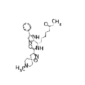 CCC(=O)CCCCC[C@H](NC(=O)C1=NOC2(CCN(C)CC2)C1)c1ncc(-c2ccccc2)[nH]1